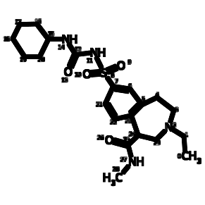 CCN1CCc2cc(S(=O)(=O)NC(=O)NC3CCCCC3)ccc2C(C(=O)NC)C1